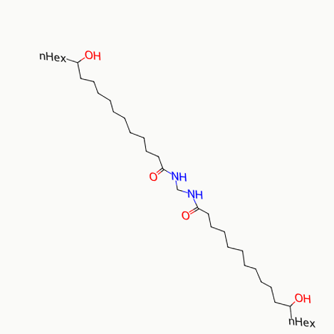 CCCCCCC(O)CCCCCCCCCCC(=O)NCNC(=O)CCCCCCCCCCC(O)CCCCCC